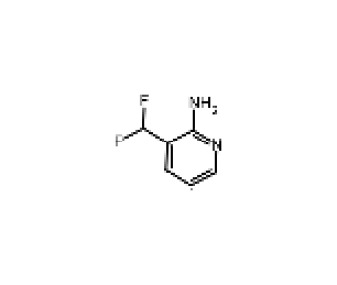 Nc1nc[c]cc1C(F)F